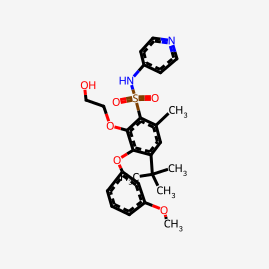 COc1cccc(Oc2c(C(C)(C)C)cc(C)c(S(=O)(=O)Nc3ccncc3)c2OCCO)c1